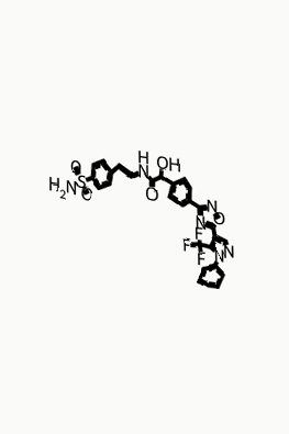 NS(=O)(=O)c1ccc(C=CNC(=O)C(O)c2ccc(-c3noc(-c4cnn(-c5ccccc5)c4C(F)(F)F)n3)cc2)cc1